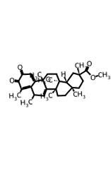 CC[C@@]12CC[C@@]3(C)C4=CC(=O)C(=O)C(C)=C4C(C)C=C3[C@@]1(C)CC[C@@]1(C)CC[C@@](C)(C(=O)OC)C[C@H]12